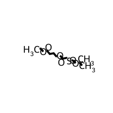 CCOC(=O)CCCOC(=O)CSOOC(C)C